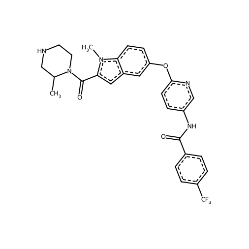 CC1CNCCN1C(=O)c1cc2cc(Oc3ccc(NC(=O)c4ccc(C(F)(F)F)cc4)cn3)ccc2n1C